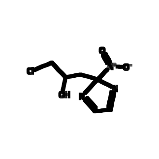 O=[N+]([O-])C1(CC(O)CCl)N=CC=N1